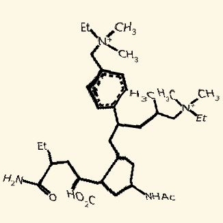 CCC(CC(C(=O)O)C1CC(NC(C)=O)CC1CC(CC(C)C[N+](C)(C)CC)c1ccc(C[N+](C)(C)CC)cc1)C(N)=O